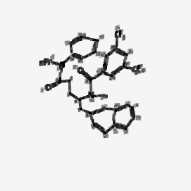 CCCN(C(=O)CCC(Cc1ccc2ccccc2c1)N(C)C(=O)c1cc(C(F)(F)F)cc(C(F)(F)F)c1)c1ccccc1